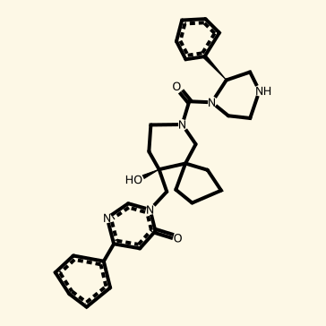 O=C(N1CC[C@@](O)(Cn2cnc(-c3ccccc3)cc2=O)C2(CCCC2)C1)N1CCNC[C@@H]1c1ccccc1